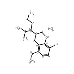 CCCN(C(C)C)C1COc2c(F)ccc(OC)c2C1.Cl